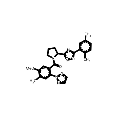 COc1cc(C(=O)N2CCCC2c2noc(-c3cc(C)ccc3C)n2)c(-n2nccn2)cc1C